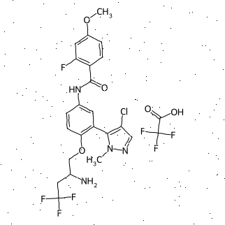 COc1ccc(C(=O)Nc2ccc(OCC(N)CC(F)(F)F)c(-c3c(Cl)cnn3C)c2)c(F)c1.O=C(O)C(F)(F)F